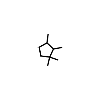 CC1[CH]CC(C)(C)C1C